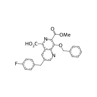 COC(=O)c1nc(C(=O)O)c2cc(Cc3ccc(F)cc3)cnc2c1OCc1ccccc1